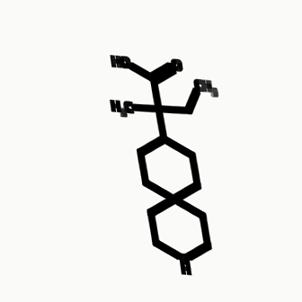 CCC(C)(C(=O)O)C1CCC2(CCNCC2)CC1